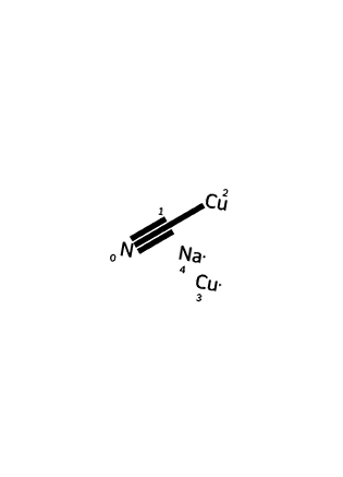 N#[C][Cu].[Cu].[Na]